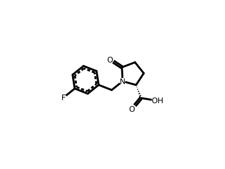 O=C(O)[C@H]1CCC(=O)N1Cc1cccc(F)c1